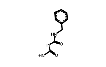 [NH]C(=O)NC(=O)NCc1ccccc1